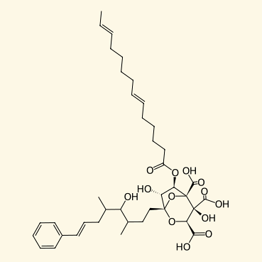 CC=CCCCCC=CCCCCC(=O)O[C@@H]1[C@@H](O)[C@@]2(CCC(C)C(O)C(C)CC=Cc3ccccc3)O[C@H](C(=O)O)[C@@](O)(C(=O)O)[C@]1(C(=O)O)O2